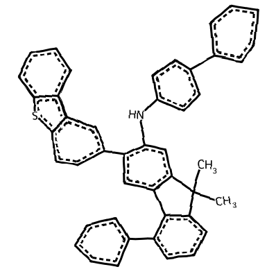 CC1(C)c2cc(Nc3ccc(-c4ccccc4)cc3)c(-c3ccc4sc5ccccc5c4c3)cc2-c2c(-c3ccccc3)cccc21